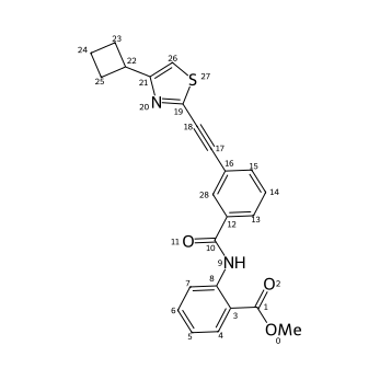 COC(=O)c1ccccc1NC(=O)c1cccc(C#Cc2nc(C3CCC3)cs2)c1